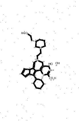 COCC[C@@H]1CCCN(CCN2C=C3C(=C(C4CCCCC4)C4=CC=CC34)C3=C(CN=C(C(=O)O)S3)C2)C1.Cl.Cl